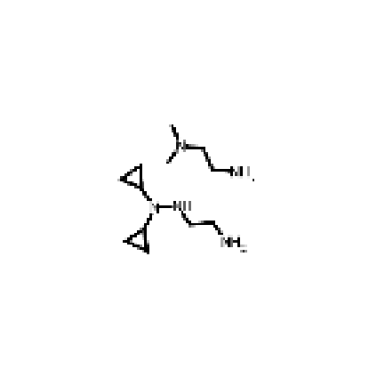 CN(C)CCN.NCCNN(C1CC1)C1CC1